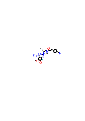 CCC[C@H]1CN(C(=O)/C=C/c2ccc(C#N)cc2)CCN1c1nc(N)c2cc(OC)c(OC)c(F)c2n1